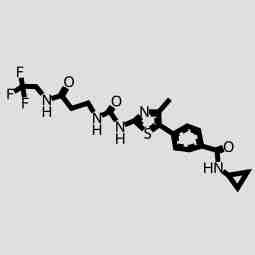 Cc1nc(NC(=O)NCCC(=O)NCC(F)(F)F)sc1-c1ccc(C(=O)NC2CC2)cc1